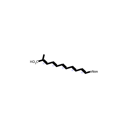 CCCCCCCCC/C=C/C=C/C=C/C=C/C=C(\C)C(=O)O